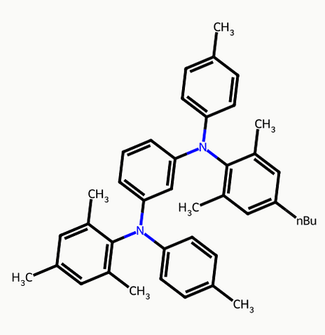 CCCCc1cc(C)c(N(c2ccc(C)cc2)c2cccc(N(c3ccc(C)cc3)c3c(C)cc(C)cc3C)c2)c(C)c1